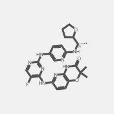 C[C@H](Nc1ccc(Nc2ncc(F)c(Nc3ccc4c(n3)NC(=O)C(C)(C)O4)n2)cn1)C1CCCO1